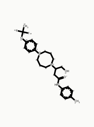 Cc1ccc(NC(=O)CC(CO)N2CCCN(c3ccc(OC(C)(F)F)cc3)CCC2)cc1